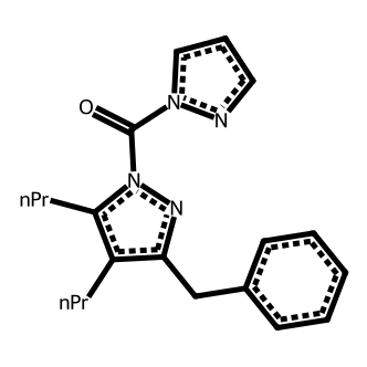 CCCc1c(Cc2ccccc2)nn(C(=O)n2cccn2)c1CCC